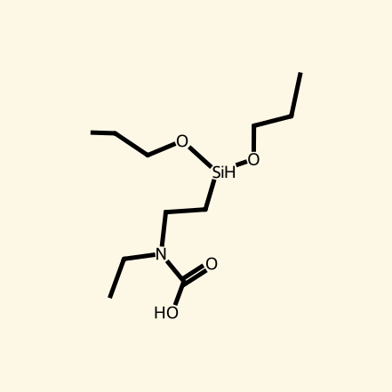 CCCO[SiH](CCN(CC)C(=O)O)OCCC